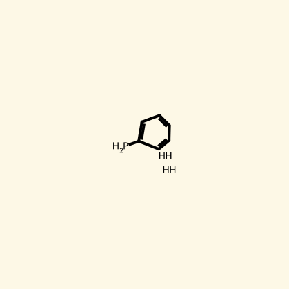 Pc1ccccc1.[HH].[HH]